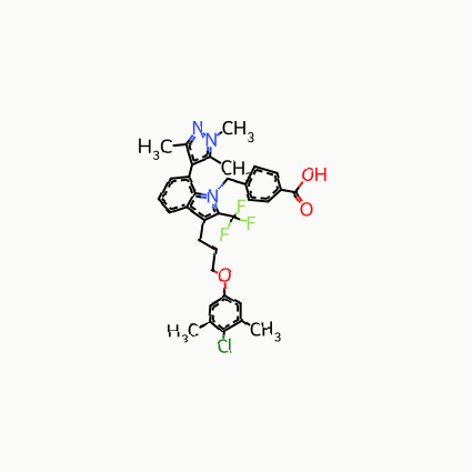 Cc1cc(OCCCc2c(C(F)(F)F)n(Cc3ccc(C(=O)O)cc3)c3c(-c4c(C)nn(C)c4C)cccc23)cc(C)c1Cl